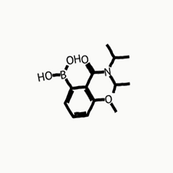 COc1cccc(B(O)O)c1C(=O)N(C(C)C)C(C)C